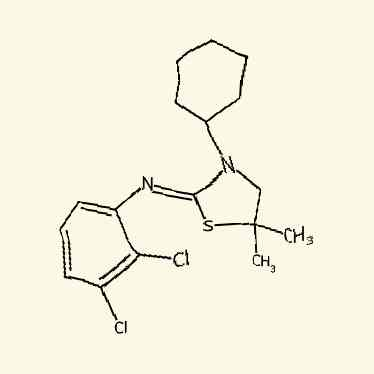 CC1(C)CN(C2CCCCC2)C(=Nc2cccc(Cl)c2Cl)S1